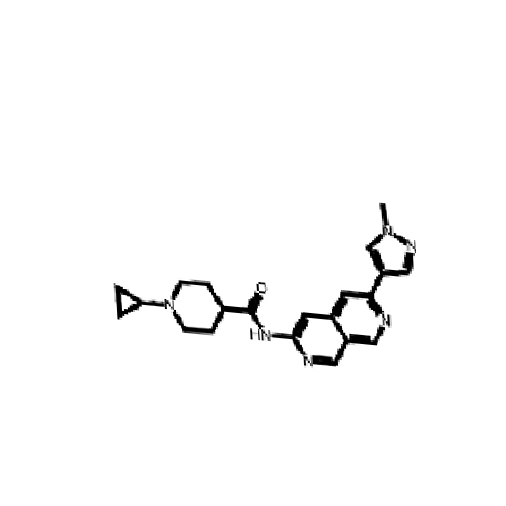 Cn1cc(-c2cc3cc(NC(=O)C4CCN(C5CC5)CC4)ncc3cn2)cn1